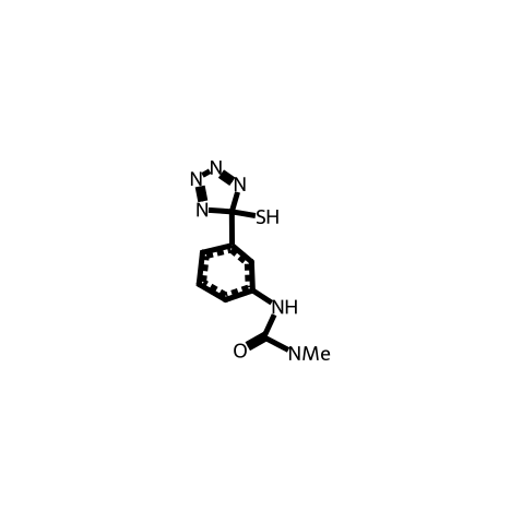 CNC(=O)Nc1cccc(C2(S)N=NN=N2)c1